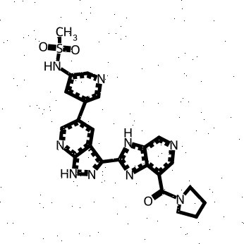 CS(=O)(=O)Nc1cncc(-c2cnc3[nH]nc(-c4nc5c(C(=O)N6CCCC6)cncc5[nH]4)c3c2)c1